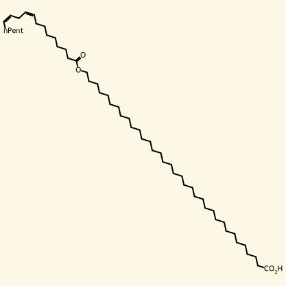 CCCCC/C=C\C/C=C\CCCCCCCC(=O)OCCCCCCCCCCCCCCCCCCCCCCCCCCCCCCCCCCC(=O)O